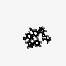 O=c1ccn(-c2ccc(-n3nccc3OCC(F)(F)F)cc2F)nc1-c1ccnn1-c1ccccc1